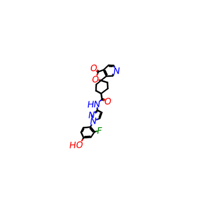 O=C1OC2(CCC(C(=O)Nc3ccn(-c4ccc(O)cc4F)n3)CC2)c2cnccc21